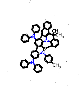 Cc1ccc(N2B3c4cccc5c4-n4c6c(c7ccccc7cc6c6c(N(c7ccccc7)c7ccccc7)cc(c3c64)-c3ccc(N(c4ccccc4)c4ccccc4)cc32)C5(C)C)cc1